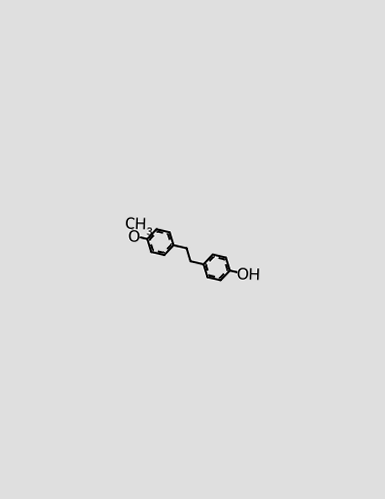 COc1ccc(CCc2ccc(O)cc2)cc1